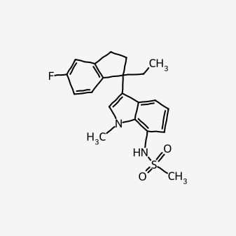 CCC1(c2cn(C)c3c(NS(C)(=O)=O)cccc23)CCc2cc(F)ccc21